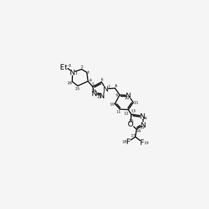 CCN1CCC(c2cn(Cc3ccc(-c4nnc(C(F)F)o4)cn3)nn2)CC1